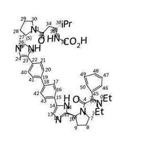 CCN(CC)[C@@H](C(=O)N1CCC[C@H]1c1ncc(-c2ccc(-c3ccc(-c4cnc([C@@H]5CCCN5C(=O)C[C@@H](NC(=O)O)C(C)C)[nH]4)cc3)cc2)[nH]1)c1ccccc1